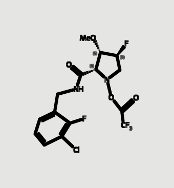 CO[C@H]1[C@@H](C(=O)NCc2cccc(Cl)c2F)N(OC(=O)C(F)(F)F)C[C@@H]1F